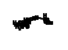 C=CCn1c(=O)c2cnc(Nc3ccc(N4CCN(CCCCCCNC(=O)OC(C)(C)C)CC4)cc3)nc2n1-c1cccc(C(C)(C)O)n1